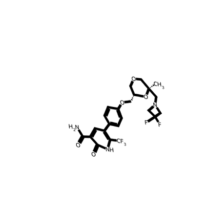 C[C@@]1(CN2CC(F)(F)C2)COC[C@@H](COc2ccc(-c3cc(C(N)=O)c(=O)[nH]c3C(F)(F)F)cc2)O1